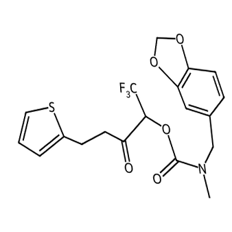 CN(Cc1ccc2c(c1)OCO2)C(=O)OC(C(=O)CCc1cccs1)C(F)(F)F